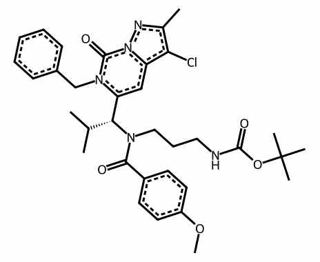 COc1ccc(C(=O)N(CCCNC(=O)OC(C)(C)C)[C@@H](c2cc3c(Cl)c(C)nn3c(=O)n2Cc2ccccc2)C(C)C)cc1